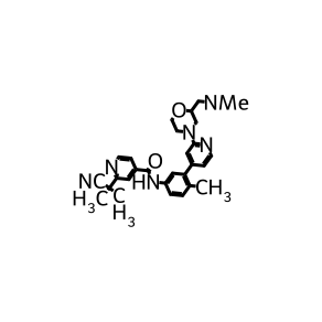 CNCC1CN(c2cc(-c3cc(NC(=O)c4ccnc(C(C)(C)C#N)c4)ccc3C)ccn2)CCO1